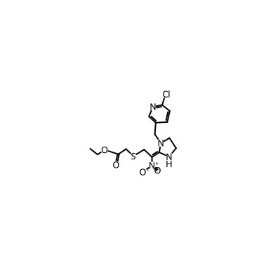 CCOC(=O)CSCC(=C1NCCN1Cc1ccc(Cl)nc1)[N+](=O)[O-]